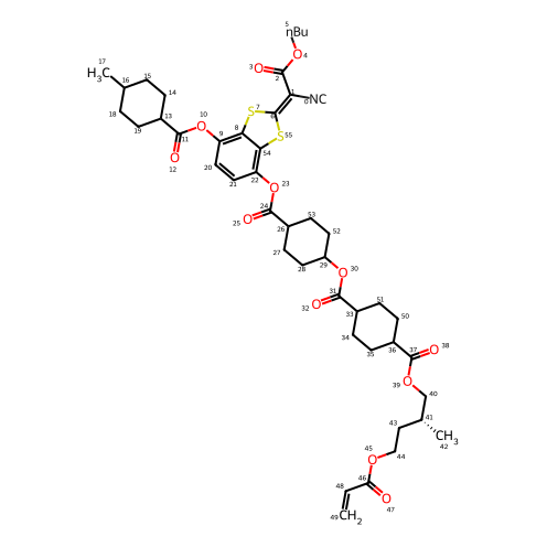 [C-]#[N+]/C(C(=O)OCCCC)=C1/Sc2c(OC(=O)C3CCC(C)CC3)ccc(OC(=O)C3CCC(OC(=O)C4CCC(C(=O)OC[C@H](C)CCOC(=O)C=C)CC4)CC3)c2S1